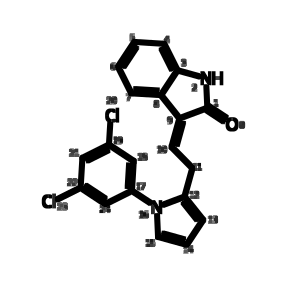 O=C1Nc2ccccc2C1=CCc1cccn1-c1cc(Cl)cc(Cl)c1